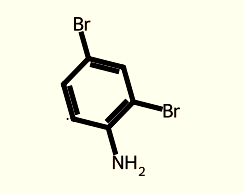 Nc1[c]cc(Br)cc1Br